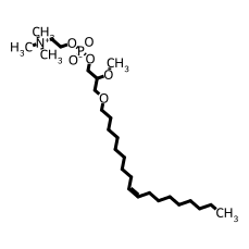 CCCCCCCC/C=C\CCCCCCCCOCC(COP(=O)([O-])OCC[N+](C)(C)C)OC